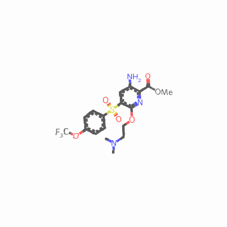 COC(=O)c1nc(OCCN(C)C)c(S(=O)(=O)c2ccc(OC(F)(F)F)cc2)cc1N